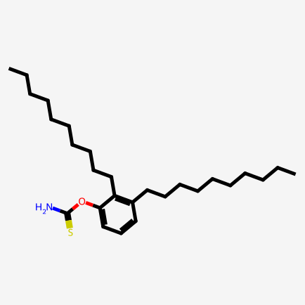 CCCCCCCCCCc1cccc(OC(N)=S)c1CCCCCCCCCC